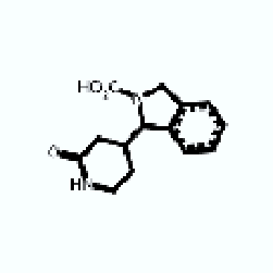 O=C1CC(C2c3ccccc3CN2C(=O)O)CCN1